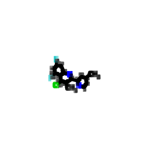 Cc1ccnc(-c2nc3cc(F)cc(F)c3c(Cl)c2C)c1